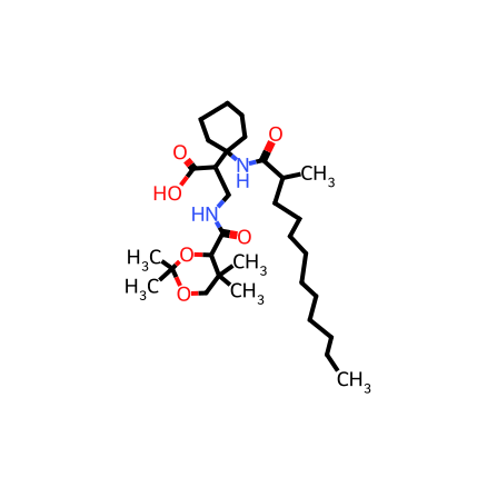 CCCCCCCCCCC(C)C(=O)NC1(C(CNC(=O)C2OC(C)(C)OCC2(C)C)C(=O)O)CCCCC1